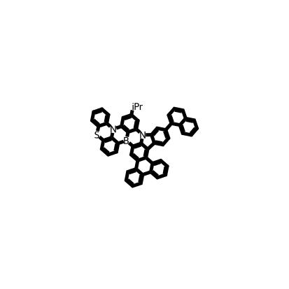 CC(C)c1cc2c3c(c1)-n1c4cc(-c5cccc6ccccc56)ccc4c4c5c6ccccc6c6ccccc6c5cc(c41)B3c1cccc3c1N2c1ccccc1S3